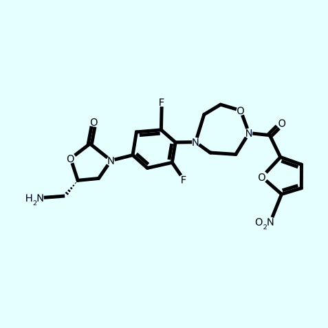 NC[C@H]1CN(c2cc(F)c(N3CCON(C(=O)c4ccc([N+](=O)[O-])o4)CC3)c(F)c2)C(=O)O1